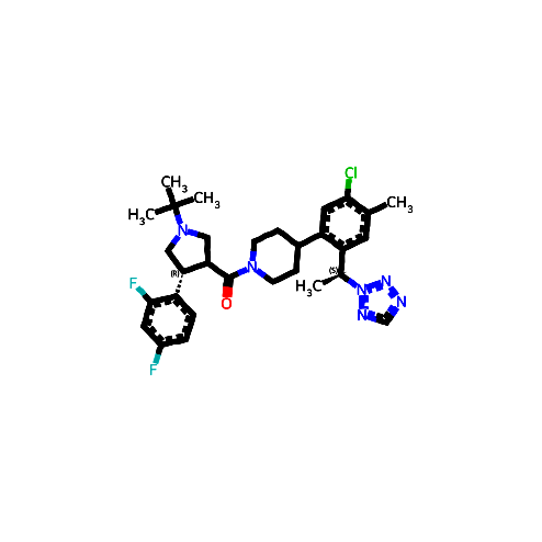 Cc1cc([C@H](C)n2ncnn2)c(C2CCN(C(=O)C3CN(C(C)(C)C)C[C@H]3c3ccc(F)cc3F)CC2)cc1Cl